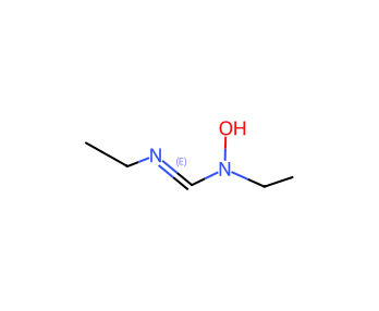 CC/N=C/N(O)CC